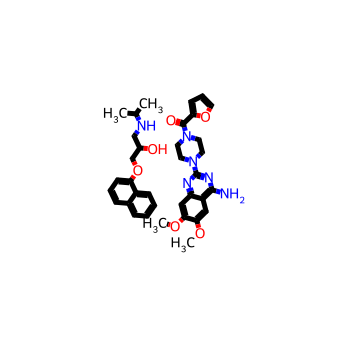 CC(C)NCC(O)COc1cccc2ccccc12.COc1cc2nc(N3CCN(C(=O)c4ccco4)CC3)nc(N)c2cc1OC